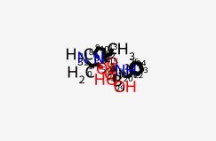 C=C(C#N)C(=O)N1C(C)CCC1(CC)COC(=O)N[C@@H](Cc1ccccc1)B(O)O